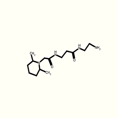 CC1CCCC(C)N1CC(=O)NCCC(=O)NCCN